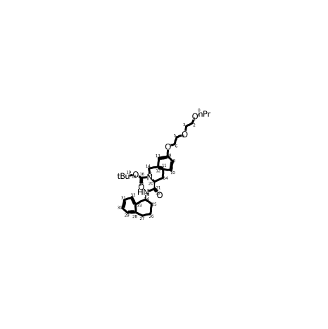 CCCOCCOCCOc1ccc2c(c1)CN(C(=O)OC(C)(C)C)[C@H](C(=O)N[C@@H]1CCCc3ccccc31)C2